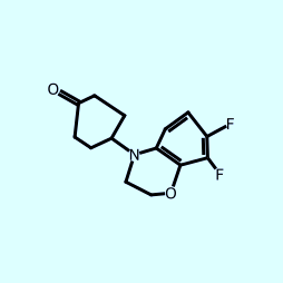 O=C1CCC(N2CCOc3c2ccc(F)c3F)CC1